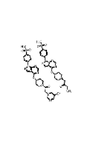 CCC(=O)CN1CCC(Oc2ncnc3c2cnn3-c2ccc(S(C)(=O)=O)cc2)CC1.CS(=O)(=O)c1ccc(-n2ncc3c(OC4CCN(C(=O)Cc5cncc(Br)c5)CC4)ncnc32)cc1